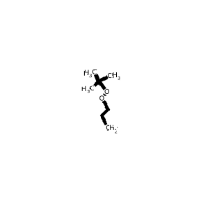 [CH2]CCOOC(C)(C)C